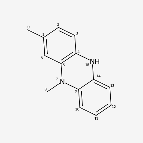 Cc1ccc2c(c1)N(C)c1ccccc1N2